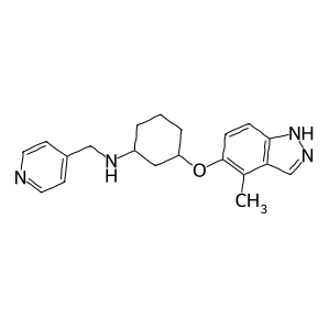 Cc1c(OC2CCCC(NCc3ccncc3)C2)ccc2[nH]ncc12